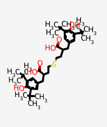 CC(C)(C)c1cc(CC(CCSCCC(Cc2cc(C(C)(C)C)c(O)c(C(C)(C)C)c2)C(=O)O)C(=O)O)cc(C(C)(C)C)c1O